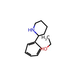 CCO.c1ccc(C2CCCCN2)cc1